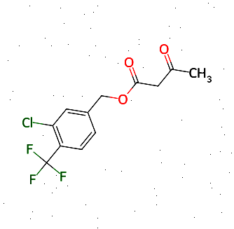 CC(=O)CC(=O)OCc1ccc(C(F)(F)F)c(Cl)c1